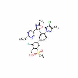 COc1ncc(-c2nc(C)oc2-c2cc(-c3cc(F)c(CO)c(S(C)(=O)=O)c3)ccc2-n2cc(Cl)c(C(F)(F)F)n2)cn1